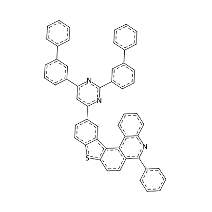 c1ccc(-c2cccc(-c3cc(-c4ccc5sc6ccc7c(-c8ccccc8)nc8ccccc8c7c6c5c4)nc(-c4cccc(-c5ccccc5)c4)n3)c2)cc1